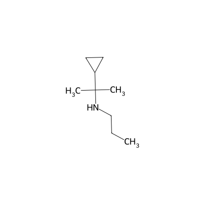 CCCNC(C)(C)C1CC1